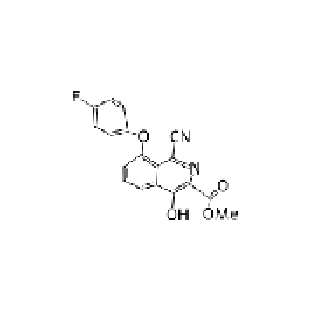 COC(=O)c1nc(C#N)c2c(Oc3ccc(F)cc3)cccc2c1O